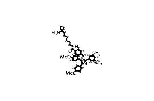 CCC(N)CCCCCCNC(=O)c1ccc(Cn2c(-c3cc(C(F)(F)F)cc(C(F)(F)F)c3)nc(-c3ccc(OC)cc3)c2-c2ccc(OC)cc2)cc1